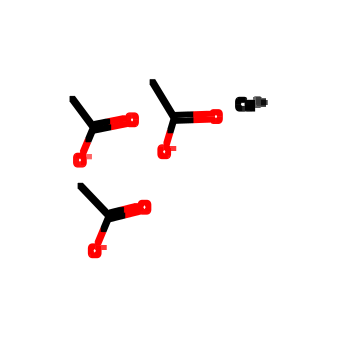 CC(=O)[O-].CC(=O)[O-].CC(=O)[O-].[Cu+3]